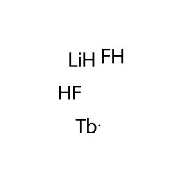 F.F.[LiH].[Tb]